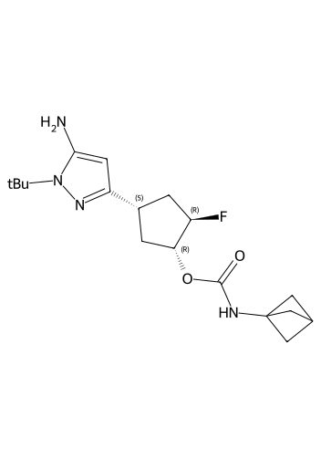 CC(C)(C)n1nc([C@@H]2C[C@@H](F)[C@H](OC(=O)NC34CC(C3)C4)C2)cc1N